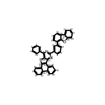 c1ccc(-c2nc(-c3cccc(-c4cccc5c4oc4ccccc45)c3)nc3c2sc2c4ccccc4c4ccccc4c32)cc1